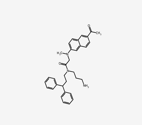 CC(=O)c1ccc2cc(N(C)CC(=O)N(CCCN)CCC(c3ccccc3)c3ccccc3)ccc2c1